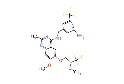 COc1cc2nc(C)nc(NCc3cc(N)nc(C(F)(F)F)c3)c2cc1OCC(OC)C(F)(F)F